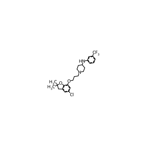 CC1(C)Cc2cc(Cl)cc(OCCCN3CCC(Nc4cccc(C(F)(F)F)c4)CC3)c2O1